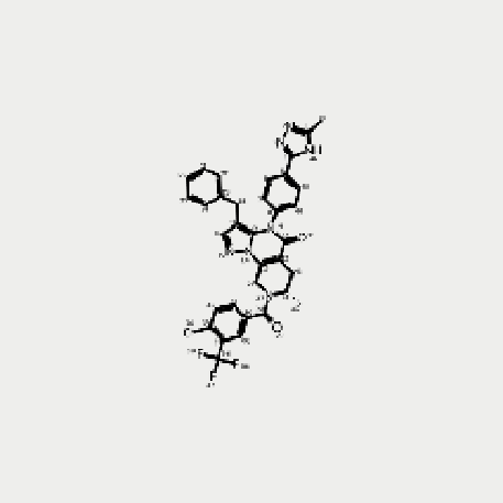 Cc1nnc(-c2ccc(-n3c(=O)c4c(n5ncc(Cc6ccccc6)c35)CN(C(=O)c3ccc(Cl)c(C(F)(F)F)c3)[C@@H](C)C4)cc2)[nH]1